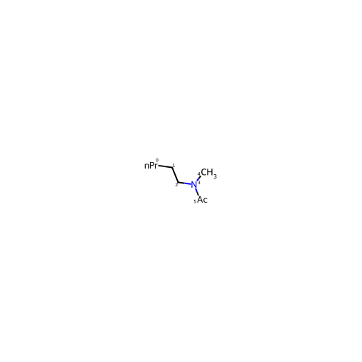 [CH2]CCCCN(C)C(C)=O